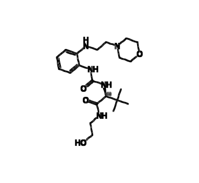 CC(C)(C)[C@H](NC(=O)Nc1ccccc1NCCN1CCOCC1)C(=O)NCCO